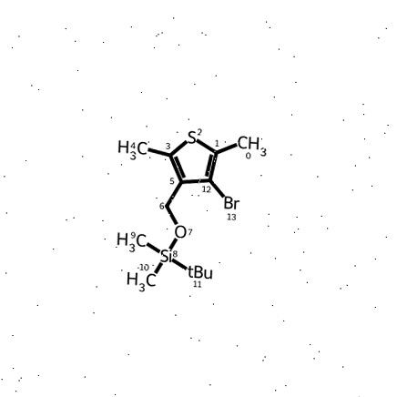 Cc1sc(C)c(CO[Si](C)(C)C(C)(C)C)c1Br